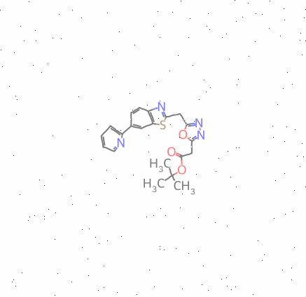 CC(C)(C)OC(=O)Cc1nnc(Cc2nc3ccc(-c4ccccn4)cc3s2)o1